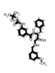 COc1cccc(CNC[C@H](O)[C@H](Cc2ccccc2)NC(=O)c2cccc(NC(=O)OC(C)(C)C)c2)c1